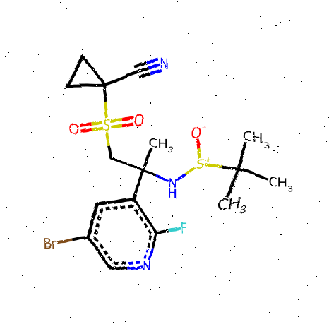 CC(CS(=O)(=O)C1(C#N)CC1)(N[S+]([O-])C(C)(C)C)c1cc(Br)cnc1F